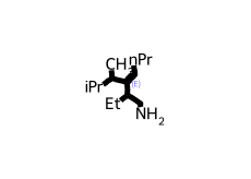 CCC/C=C(/C(CC)CN)C(C)C(C)C